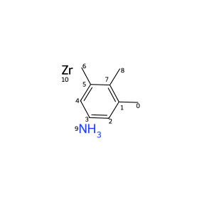 Cc1cccc(C)c1C.N.[Zr]